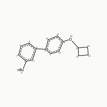 CCCCc1cc[c]c(-c2ccc(OC3CCC3)cc2)c1